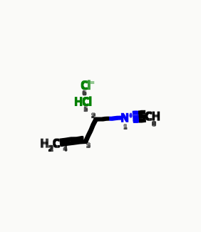 C#[N+]CC=C.Cl.[Cl-]